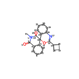 CN1C(=O)c2ccccc2C2(OC(C3CCC3)=Nc3ccccc32)C1=O